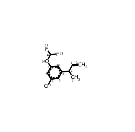 C=C[C](C)c1cc(Cl)cc(OC(F)F)c1